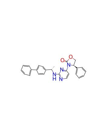 C[C@H](Nc1nccc(N2C(=O)OC[C@H]2c2ccccc2)n1)c1ccc(-c2ccccc2)cc1